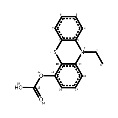 CCN1c2ccccc2Sc2c(OC(=O)O)cccc21